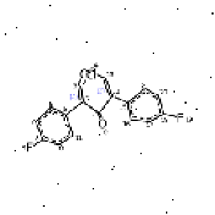 O=C(/C(=C\Cl)c1ccc(F)cc1)/C(=C\Cl)c1ccc(F)cc1